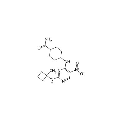 CC1(Nc2ncc([N+](=O)[O-])c(NC3CCC(C(N)=O)CC3)n2)CCC1